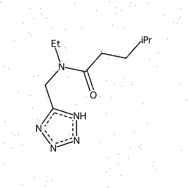 CCN(Cc1nnn[nH]1)C(=O)[CH]CC(C)C